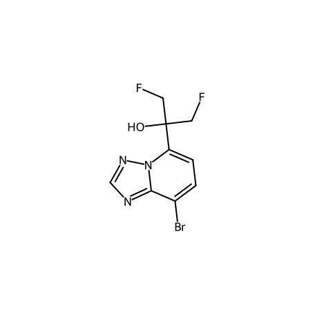 OC(CF)(CF)c1ccc(Br)c2ncnn12